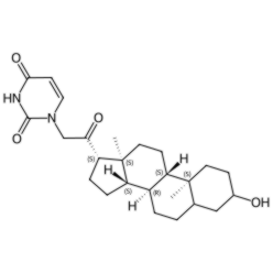 C[C@]12CC[C@H]3[C@@H](CCC4CC(O)CC[C@@]43C)[C@@H]1CC[C@@H]2C(=O)Cn1ccc(=O)[nH]c1=O